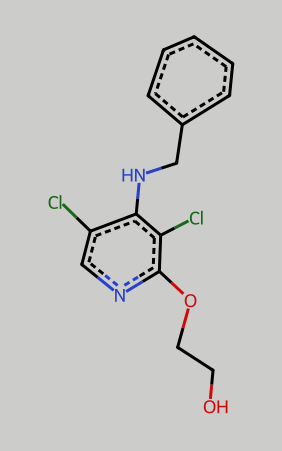 OCCOc1ncc(Cl)c(NCc2ccccc2)c1Cl